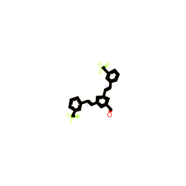 O=Cc1cc(/C=C/c2cccc(C(F)(F)F)c2)cc(/C=C/c2cccc(C(F)(F)F)c2)c1